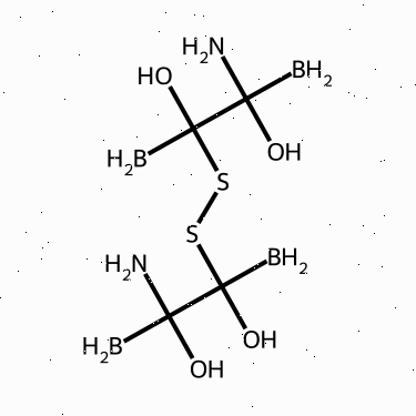 BC(N)(O)C(B)(O)SSC(B)(O)C(B)(N)O